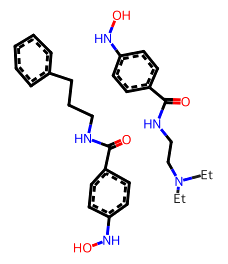 CCN(CC)CCNC(=O)c1ccc(NO)cc1.O=C(NCCCc1ccccc1)c1ccc(NO)cc1